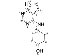 OC1CCN(Nc2ncnc3[nH]ccc23)CC1